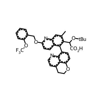 Cc1cc2nc(OCc3ccccc3OC(F)(F)F)ccc2c(-c2ccc3c4c(ccnc24)CCO3)c1C(OC(C)(C)C)C(=O)O